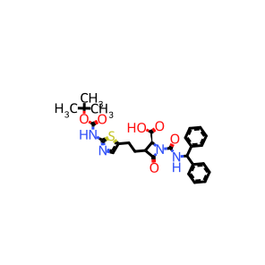 CC(C)(C)OC(=O)Nc1ncc(CCC2C(=O)N(C(=O)NC(c3ccccc3)c3ccccc3)[C@@H]2C(=O)O)s1